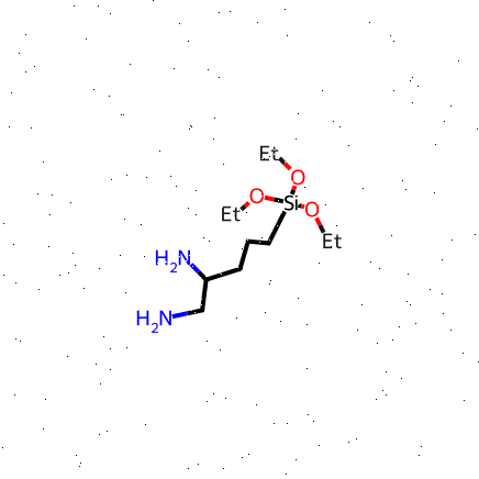 CCO[Si](CCCC(N)CN)(OCC)OCC